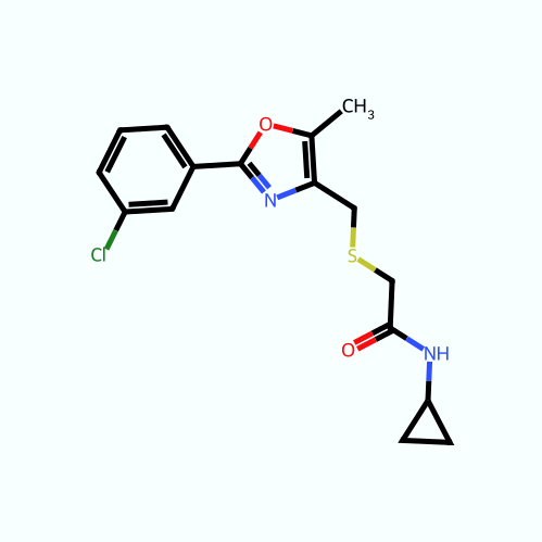 Cc1oc(-c2cccc(Cl)c2)nc1CSCC(=O)NC1CC1